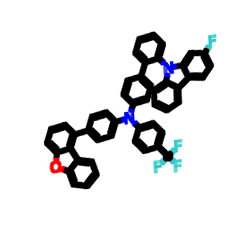 Fc1ccc2c3ccccc3n(-c3ccccc3-c3ccc(N(c4ccc(-c5cccc6oc7ccccc7c56)cc4)c4ccc(C(F)(F)F)cc4)cc3)c2c1